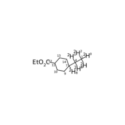 [2H]C([2H])([2H])C([2H])([2H])C1([2H])CCC(C(=O)OCC)CC1